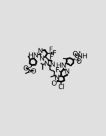 CCS(=O)(=O)c1ccc(Nc2ncc(C(F)(F)F)c(-c3cnc(CCC(C)n4c(=O)c(Cl)cc5cnc(Nc6ccc(S(=O)(=O)NC)cc6C)c(F)c54)n3C(C)C)n2)c(C)c1